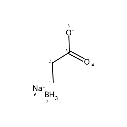 B.CCC(=O)[O-].[Na+]